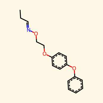 CCC=NOCCOc1ccc(Oc2ccccc2)cc1